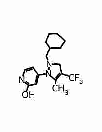 CC1=C(C(F)(F)F)CN(CC2CCCCC2)N1c1ccnc(O)c1